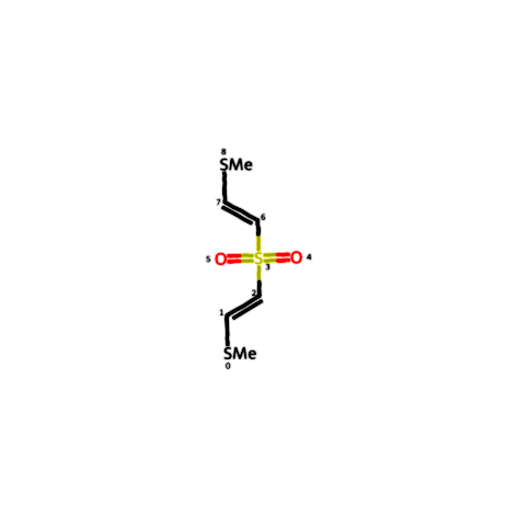 CSC=CS(=O)(=O)C=CSC